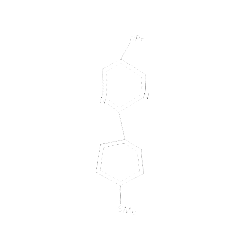 CCCc1cnc(-c2ccc(SC)cc2)nc1